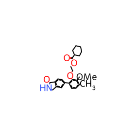 COc1c(C)ccc(-c2ccc3c(c2)CNC3=O)c1OCCOC(=O)C1CCCCC1